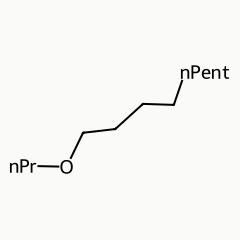 CCCCCCCCCOCCC